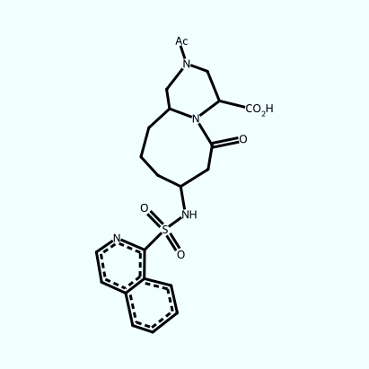 CC(=O)N1CC2CCCC(NS(=O)(=O)c3nccc4ccccc34)CC(=O)N2C(C(=O)O)C1